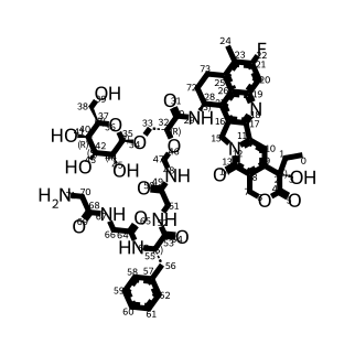 CC[C@@]1(O)C(=O)OCc2c1cc1n(c2=O)Cc2c-1nc1cc(F)c(C)c3c1c2[C@@H](NC(=O)[C@@H](CO[C@@H]1O[C@H](CO)[C@H](O)[C@H](O)[C@H]1O)OCNC(=O)CNC(=O)[C@H](Cc1ccccc1)NC(=O)CNC(=O)CN)CC3